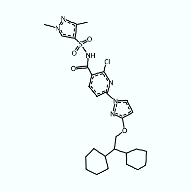 Cc1nn(C)cc1S(=O)(=O)NC(=O)c1ccc(-n2ccc(OCC(C3CCCCC3)C3CCCCC3)n2)nc1Cl